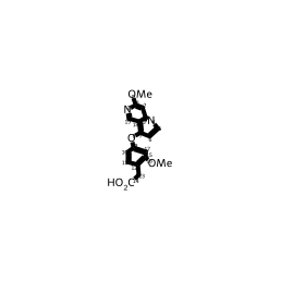 COc1cc2nccc(Oc3ccc(CC(=O)O)c(OC)c3)c2cn1